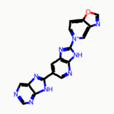 c1ncc2nc(-c3cnc4[nH]c(-[n+]5ccc6ocnc6c5)nc4c3)[nH]c2n1